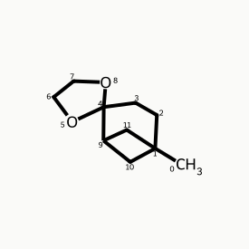 CC12CCC3(OCCO3)C(C1)C2